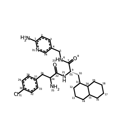 Nc1ccc(CNC(=O)[C@H](CC2CCCC3CCCCC32)NC(=O)C(N)Cc2ccc(Cl)cc2)cn1